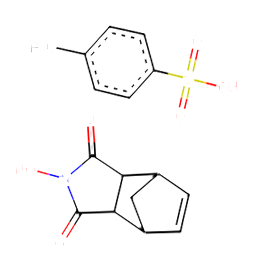 Cc1ccc(S(=O)(=O)O)cc1.O=C1C2C3C=CC(C3)C2C(=O)N1O